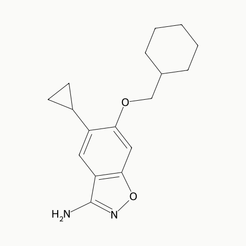 Nc1noc2cc(OCC3CCCCC3)c(C3CC3)cc12